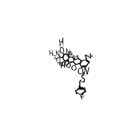 CN(C)c1cc2nc(SCc3ccc(F)cc3)oc2c2c1C[C@H]1C[C@H]3[C@H](N(C)C)C(O)=C(C(N)=O)C(=O)[C@@]3(O)C(O)=C1C2=O